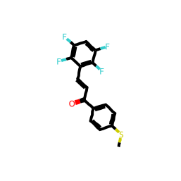 CSc1ccc(C(=O)/C=C/c2c(F)c(F)cc(F)c2F)cc1